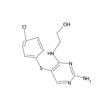 Nc1ncc(Sc2ccc(Cl)cc2)c(NCCO)n1